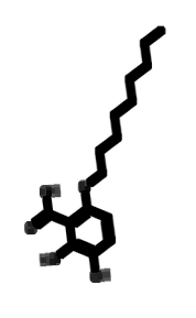 CCCCCCCCCOc1ccc(O)c(O)c1C(=O)O